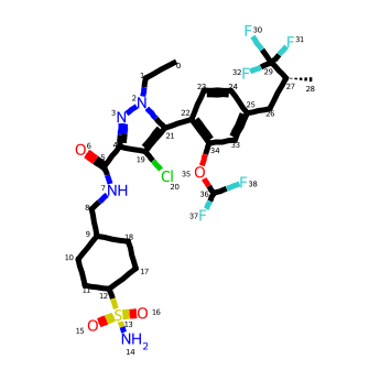 CCn1nc(C(=O)NCC2CCC(S(N)(=O)=O)CC2)c(Cl)c1-c1ccc(C[C@@H](C)C(F)(F)F)cc1OC(F)F